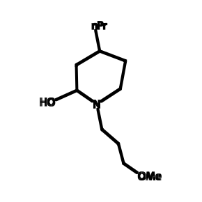 CCCC1CCN(CCCOC)C(O)C1